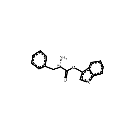 N[C@@H](Cc1ccccc1)C(=O)Oc1csc2ccccc12